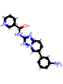 Nc1cccc(-c2ccc3nc(NC(=O)c4cccnc4)nn3c2)c1